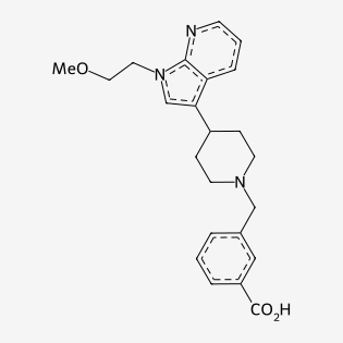 COCCn1cc(C2CCN(Cc3cccc(C(=O)O)c3)CC2)c2cccnc21